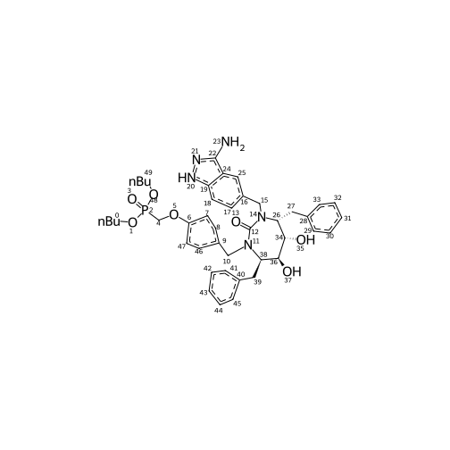 CCCCOP(=O)(COc1ccc(CN2C(=O)N(Cc3ccc4[nH]nc(N)c4c3)[C@H](Cc3ccccc3)[C@H](O)[C@@H](O)[C@H]2Cc2ccccc2)cc1)OCCCC